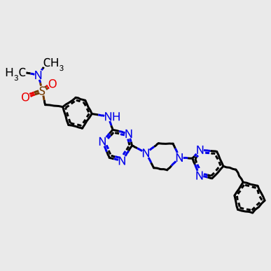 CN(C)S(=O)(=O)Cc1ccc(Nc2ncnc(N3CCN(c4ncc(Cc5ccccc5)cn4)CC3)n2)cc1